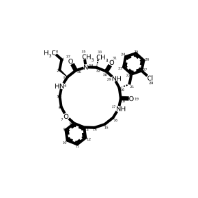 CCC[C@@H]1NCCOc2ccccc2CCCNC(=O)[C@@H](Cc2ccccc2Cl)NC(=O)[C@@H](C)N(C)C1=O